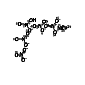 O=[N+]([O-])O.O=[N+]([O-])[O-].O=[N+]([O-])[O-].O=[N+]([O-])[O-].O=[N+]([O-])[O-].[Cu+2].[Ni+2]